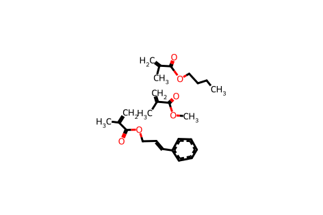 C=C(C)C(=O)OC.C=C(C)C(=O)OCC=Cc1ccccc1.C=C(C)C(=O)OCCCC